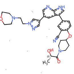 C[C@H](O)C(=O)N1CCC(Oc2ccc(-c3c[nH]c4ncc(-c5cnn(CCN6CCOCC6)c5)cc34)cc2C#N)CC1